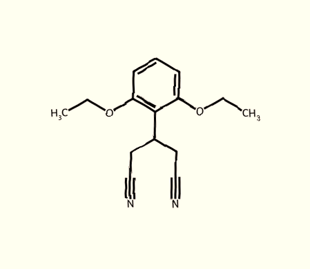 CCOc1cccc(OCC)c1C(CC#N)CC#N